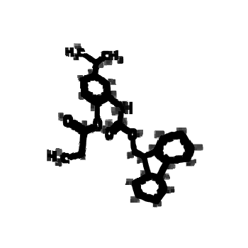 CCC(=O)Oc1ccc(C(C)C)cc1NC(=O)OCC1c2ccccc2-c2ccccc21